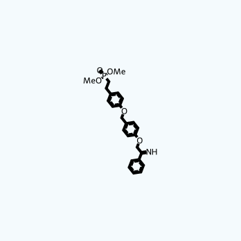 COP(=O)(CCc1ccc(OCc2ccc(OCC(=N)c3ccccc3)cc2)cc1)OC